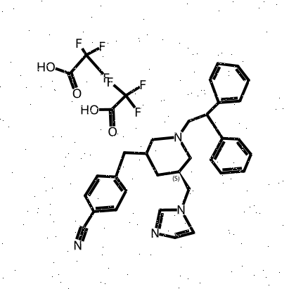 N#Cc1ccc(CC2C[C@H](Cn3ccnc3)CN(CC(c3ccccc3)c3ccccc3)C2)cc1.O=C(O)C(F)(F)F.O=C(O)C(F)(F)F